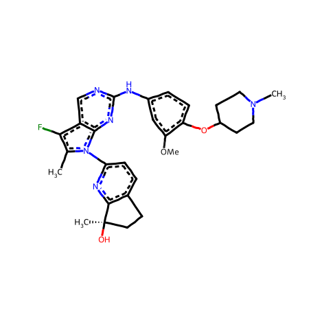 COc1cc(Nc2ncc3c(F)c(C)n(-c4ccc5c(n4)[C@](C)(O)CC5)c3n2)ccc1OC1CCN(C)CC1